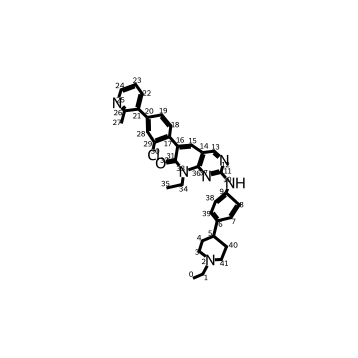 CCN1CCC(c2ccc(Nc3ncc4cc(-c5ccc(-c6cccnc6C)cc5Cl)c(=O)n(CC)c4n3)cc2)CC1